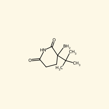 BC1(C(C)(C)C)CCC(=O)NC1=O